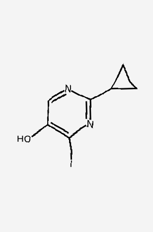 Oc1cnc(C2CC2)nc1I